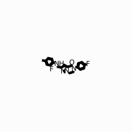 Cc1ccc(NCc2cc3n(n2)CCN(c2ccc(F)cc2)C3=O)c(F)c1